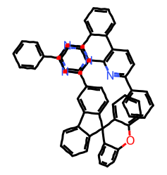 c1ccc(-c2ccc(-c3ccccc3-c3nc(-c4ccccc4)nc(-c4ccc5c(c4)-c4ccccc4C54c5ccccc5Oc5ccccc54)n3)c(-c3ccccc3)n2)cc1